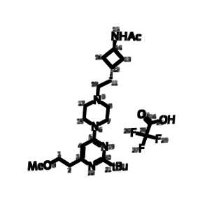 COCCc1cc(N2CCN(CC[C@H]3C[C@H](NC(C)=O)C3)CC2)nc(C(C)(C)C)n1.O=C(O)C(F)(F)F